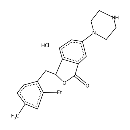 CCc1cc(C(F)(F)F)ccc1CC1OC(=O)c2cc(N3CCNCC3)ccc21.Cl